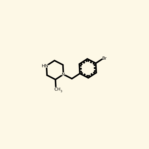 CC1CNCCN1Cc1ccc(Br)cc1